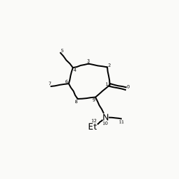 C=C1CCC(C)C(C)CC1N(C)CC